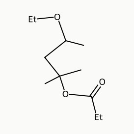 CCOC(C)CC(C)(C)OC(=O)CC